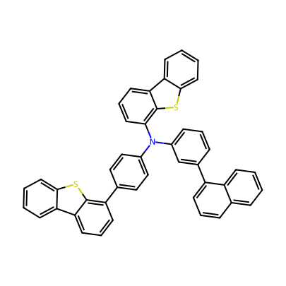 c1cc(-c2cccc3ccccc23)cc(N(c2ccc(-c3cccc4c3sc3ccccc34)cc2)c2cccc3c2sc2ccccc23)c1